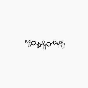 CN(C)C1CCN(c2ccc(NC(=O)c3csc(-c4ccc(C(F)(F)F)c(Cl)c4)n3)cc2)C1